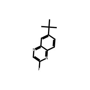 CC(C)(C)c1ccc2nc(F)cnc2c1